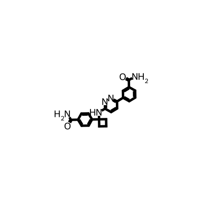 NC(=O)c1ccc(C2(Nc3ccc(-c4cccc(C(N)=O)c4)nn3)CCC2)cc1